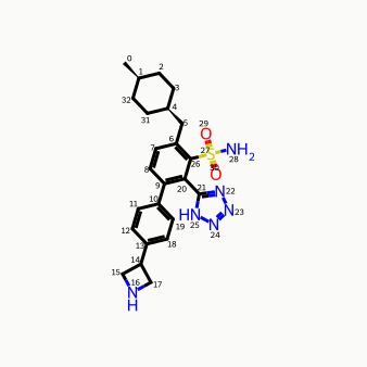 C[C@H]1CC[C@@H](Cc2ccc(-c3ccc(C4CNC4)cc3)c(-c3nnn[nH]3)c2S(N)(=O)=O)CC1